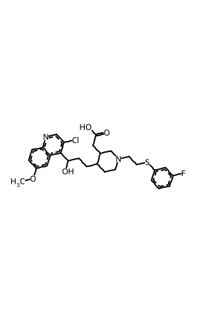 COc1ccc2ncc(Cl)c(C(O)CCC3CCN(CCSc4cccc(F)c4)CC3CC(=O)O)c2c1